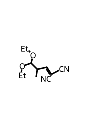 CCOC(OCC)C(C)C=C(C#N)C#N